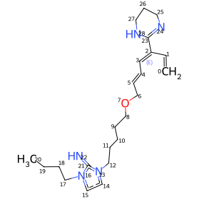 C=C/C(=C\C=CCOCCCCCn1ccn(CCCC)c1=N)C1=NCCCN1